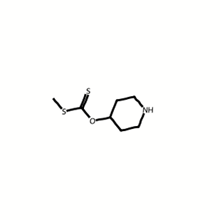 CSC(=S)OC1CCNCC1